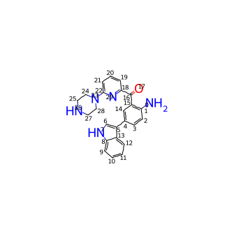 Nc1ccc(-c2c[nH]c3ccccc23)cc1C(=O)c1cccc(N2CCNCC2)n1